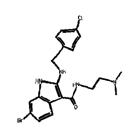 CN(C)CCNC(=O)c1c(NCc2ccc(Cl)cc2)[nH]c2cc(Br)ccc12